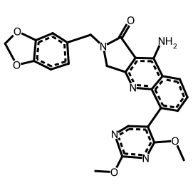 COc1ncc(-c2cccc3c(N)c4c(nc23)CN(Cc2ccc3c(c2)OCO3)C4=O)c(OC)n1